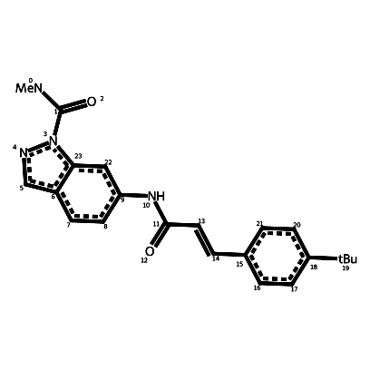 CNC(=O)n1ncc2ccc(NC(=O)C=Cc3ccc(C(C)(C)C)cc3)cc21